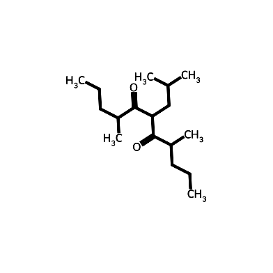 CCCC(C)C(=O)C(CC(C)C)C(=O)C(C)CCC